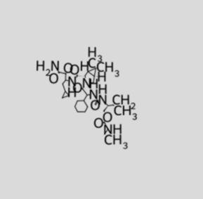 C=C(C)[C@@H](COC(=O)NCC)NC(=O)N[C@H](C(=O)N1C[C@H]2[C@@H]([C@H]1C(=O)NC(CC1CC1)C(=O)C(N)=O)C2(C)C)C1CCCCC1